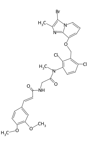 COc1ccc(C=CC(=O)NCC(=O)N(C)c2ccc(Cl)c(COc3cccn4c(Br)c(C)nc34)c2Cl)cc1OC